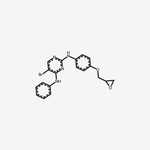 Brc1cnc(Nc2ccc(OCC3CO3)cc2)nc1Nc1ccccc1